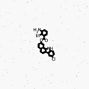 CCc1c(N)cccc1C(=O)Oc1ccc2ccc3c4cc(Cl)ccc4[nH]c3c2c1